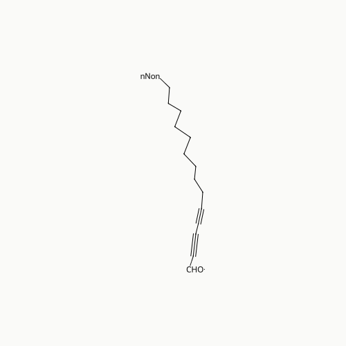 CCCCCCCCCCCCCCCCCCC#CC#C[C]=O